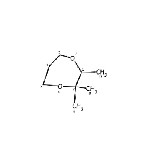 CC1OCCCOC1(C)C